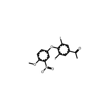 COc1ccc(Oc2c(I)cc(C(C)=O)cc2I)cc1[N+](=O)[O-]